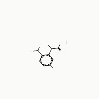 O=C(O)C(I)c1cc(Cl)ccc1C(F)F